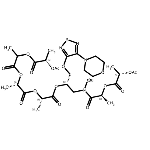 CC(=O)O[C@@H](C)C(=O)OC(C)C(=O)O[C@@H](C)C(=O)O[C@@H](C)C(=O)O[C@H](COc1nsnc1N1CCOCC1)CN(C(=O)[C@H](C)OC(=O)[C@H](C)OC(C)=O)C(C)(C)C